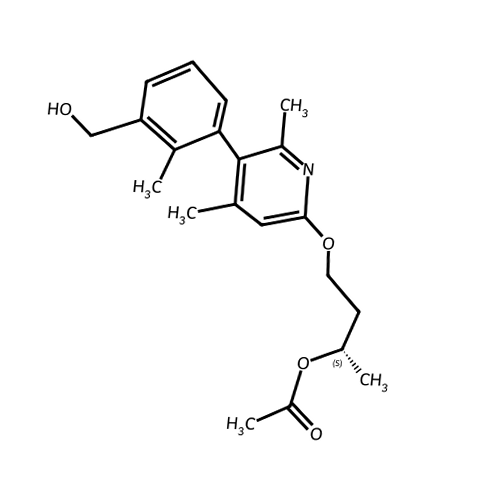 CC(=O)O[C@@H](C)CCOc1cc(C)c(-c2cccc(CO)c2C)c(C)n1